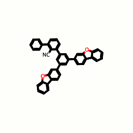 N#Cc1c(-c2ccccc2)cccc1-c1cc(-c2ccc3c(c2)oc2ccccc23)cc(-c2ccc3c(c2)oc2ccccc23)c1